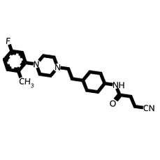 Cc1ccc(F)cc1N1CCN(CCC2CCC(NC(=O)CCC#N)CC2)CC1